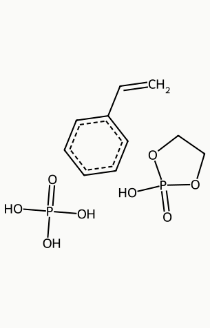 C=Cc1ccccc1.O=P(O)(O)O.O=P1(O)OCCO1